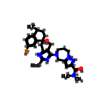 CSc1nc2c(c(N3CCCn4nc(C(=O)N(C)C)cc4C3)n1)COC1(CCC(C)c3ccc(Br)cc31)C2